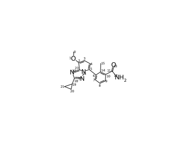 COc1ccc(-c2cccc(C(N)=O)c2C)n2nc(C3CC3)nc12